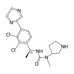 C[C@H](NC(=O)N(C)C1CCNC1)c1ccc(-c2cnccn2)c(Cl)c1Cl